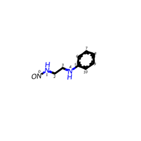 O=NNCCNc1ccccc1